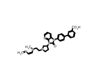 C=N/C=C\N(C)CCN1CCC(n2c(=O)n(-c3ccc(-c4cccc(C(=O)O)c4)cc3)c3cccnc32)C1